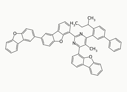 CCC(C)c1ccc(-c2ccccc2)cc1-c1nc(-c2cccc3c2oc2ccc(-c4ccc5oc6ccccc6c5c4)cc23)nc(-c2cccc3c2oc2ccccc23)c1C